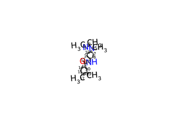 CN=C(C)N(C)c1ccc(NC(=O)c2ccc(C)c(C)c2)cc1